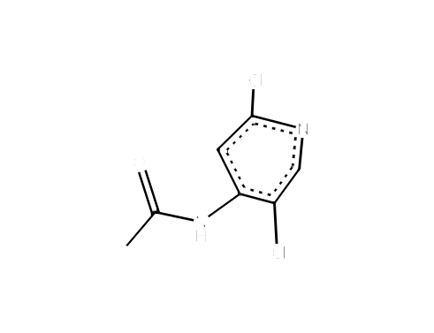 CC(=O)Nc1cc(Cl)ncc1Cl